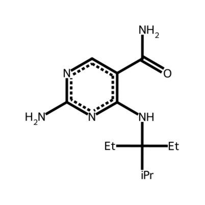 CCC(CC)(Nc1nc(N)ncc1C(N)=O)C(C)C